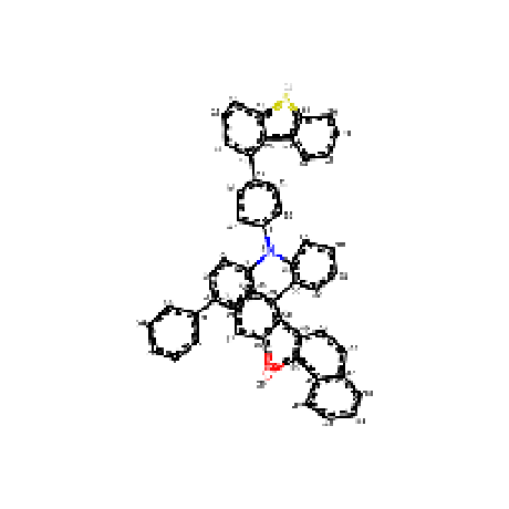 c1ccc(-c2ccc(N(c3ccc(-c4cccc5sc6ccccc6c45)cc3)c3ccccc3-c3cccc4oc5c6ccccc6ccc5c34)cc2)cc1